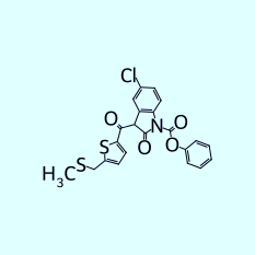 CSCc1ccc(C(=O)C2C(=O)N(C(=O)Oc3ccccc3)c3ccc(Cl)cc32)s1